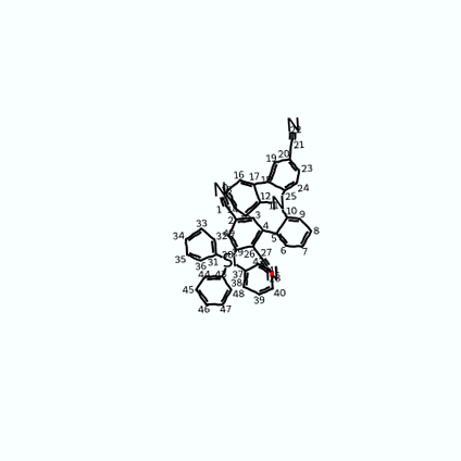 N#Cc1cc(-c2ccccc2-n2c3ccccc3c3cc(C#N)ccc32)c(C#N)c([Si](c2ccccc2)(c2ccccc2)c2ccccc2)c1